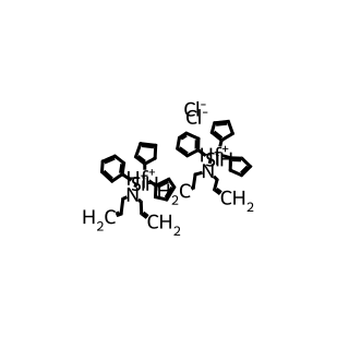 C=CCN(CC=C)[SiH](c1ccccc1)[Hf+]([C]1=CC=CC1)[C]1=CC=CC1.C=CCN(CC=C)[SiH](c1ccccc1)[Hf+]([C]1=CC=CC1)[C]1=CC=CC1.[Cl-].[Cl-]